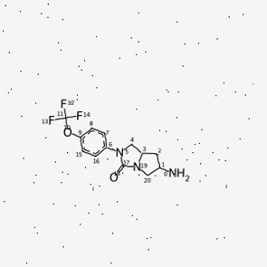 NC1CC2CN(c3ccc(OC(F)(F)F)cc3)C(=O)N2C1